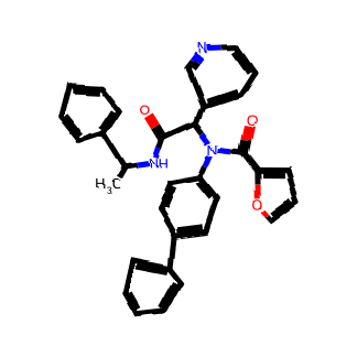 CC(NC(=O)C(c1cccnc1)N(C(=O)c1ccco1)c1ccc(-c2ccccc2)cc1)c1ccccc1